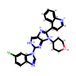 Fc1ccc2ncn(C3N=c4c(nc(-c5ccnc6ccccc56)n4C4CCOCC4)=CN3)c2c1